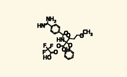 COCCC(=O)C(NC(=O)c1ccc(C(=N)N)cc1)(Oc1ccccc1)C(=O)O.O=C(O)C(F)(F)F